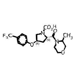 CC1COCCN1C(=O)[C@@H]1C[C@@H](Oc2ccc(C(F)(F)F)cc2)CN1C(=O)O